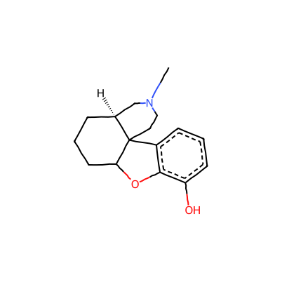 CN1CCC23c4cccc(O)c4OC2CCC[C@H]3C1